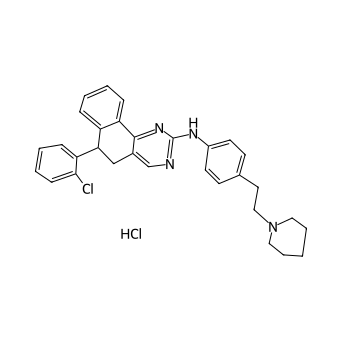 Cl.Clc1ccccc1C1Cc2cnc(Nc3ccc(CCN4CCCCC4)cc3)nc2-c2ccccc21